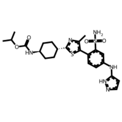 Cc1nc([C@H]2CC[C@H](NC(=O)OC(C)C)CC2)sc1-c1ccc(Nc2ccn[nH]2)cc1S(N)(=O)=O